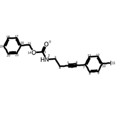 O=C(NCCC#Cc1ccc(I)cc1)OCc1ccccc1